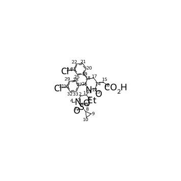 CCC(CN(C)S(=O)(=O)C1CC1)N1C(=O)[C@H](CC(=O)O)C[C@H](c2cccc(Cl)c2)C1c1ccc(Cl)cc1